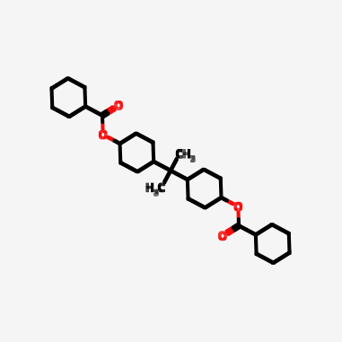 CC(C)(C1CCC(OC(=O)C2CCCCC2)CC1)C1CCC(OC(=O)C2CCCCC2)CC1